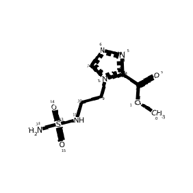 COC(=O)c1nn[c]n1CCNS(N)(=O)=O